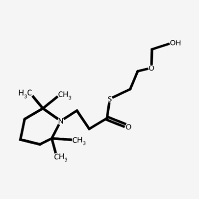 CC1(C)CCCC(C)(C)N1CCC(=O)SCCOCO